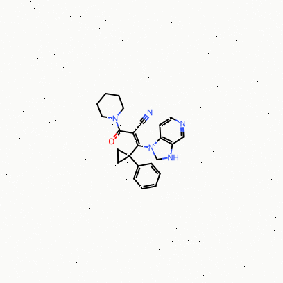 N#CC(C(=O)N1CCCCC1)=C(N1CNc2cnccc21)C1(c2ccccc2)CC1